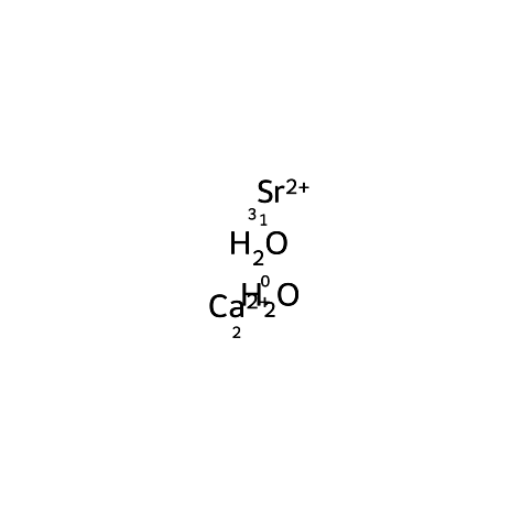 O.O.[Ca+2].[Sr+2]